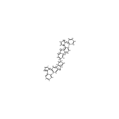 c1ccc(-c2nccn2-c2ccc3sc4ccc(-c5ccc6oc7c(-n8ccnc8-c8ccccc8)cccc7c6c5)cc4c3c2)cc1